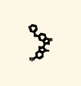 Cn1c(-c2n[nH]c3ccc(Oc4cccnc4)cc23)nc2cc(C(F)(F)F)ccc21